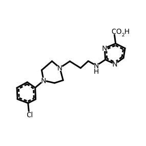 O=C(O)c1ccnc(NCCCN2CCN(c3cccc(Cl)c3)CC2)n1